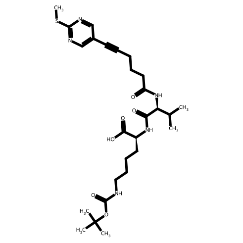 CSc1ncc(C#CCCCC(=O)N[C@H](C(=O)N[C@@H](CCCCNC(=O)OC(C)(C)C)C(=O)O)C(C)C)cn1